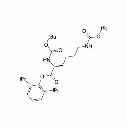 CC(C)c1cccc(C(C)C)c1OC(=O)[C@H](CCCCNC(=O)OC(C)(C)C)NC(=O)OC(C)(C)C